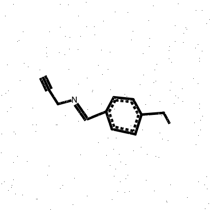 C#CCN=Cc1ccc(CC)cc1